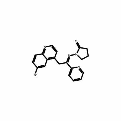 O=C1CCCN1N=C(Cc1ccnc2ccc(Br)cc12)c1ccccn1